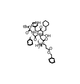 CC(C)C[C@H](C[C@H](O)[C@H](CC1CCCCC1)C(=O)[C@H](Cc1c[nH]cn1)NC(=O)[C@H](Cc1ccccc1)NC(=O)OC(C)(C)C)C(=O)N(N)CCC(=O)OCc1ccccc1